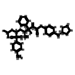 CC(C)CN(C[C@@H](O)[C@@](C)(NC(=O)Cc1ccc(O[C@H]2CCOC2)cc1)c1ccccc1)S(=O)(=O)c1ccc(N)cc1